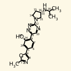 Cc1ncc(-c2ccc(-c3cnc(N4CC[C@H](NC(C)C)C4)nn3)c(O)c2)o1